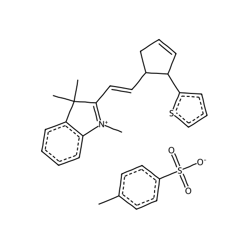 C[N+]1=C(C=CC2CC=CC2c2cccs2)C(C)(C)c2ccccc21.Cc1ccc(S(=O)(=O)[O-])cc1